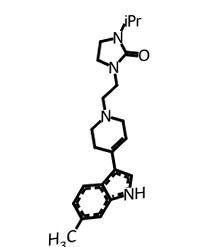 Cc1ccc2c(C3=CCN(CCN4CCN(C(C)C)C4=O)CC3)c[nH]c2c1